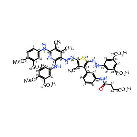 COc1ccc(Nc2nc(Nc3ccc(OC)c(S(=O)(=O)O)c3)c(N=Nc3sc(N=Nc4cc(C(=O)O)cc(C(=O)O)c4)c(-c4cccc(NC(=O)CCC(=O)O)c4)c3C#N)c(C)c2C#N)cc1S(=O)(=O)O